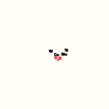 O.[Co].[Mn].[Ni].[W]